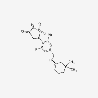 CC1(C)CCC[C@@H](NCc2cc(O)c(N3CC(=O)NS3(=O)=O)c(F)c2)C1